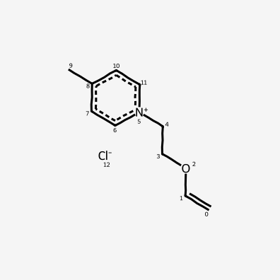 C=COCC[n+]1ccc(C)cc1.[Cl-]